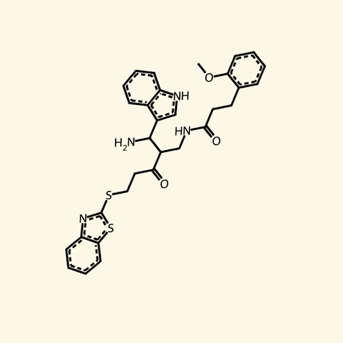 COc1ccccc1CCC(=O)NCC(C(=O)CCSc1nc2ccccc2s1)C(N)c1c[nH]c2ccccc12